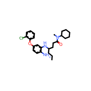 CCCC(CCC(=O)N(C)C1CCCCC1)Nc1cc(Oc2ccccc2Cl)ccc1N